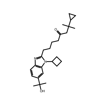 CC(C)(O)c1ccc2nc(CCCCC(=O)CC(C)(C)C3CC3)n(C3CCC3)c2c1